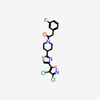 O=C(Cc1cccc(F)c1)N1CCC(c2nc(-c3snc(Cl)c3Cl)cs2)CC1